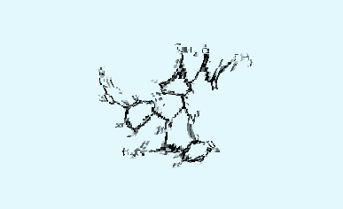 CNC(=O)c1cc(C2N=c3occc3=C(N)N2c2ccc(OC)cc2)ccc1N